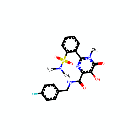 CN(C)S(=O)(=O)c1ccccc1-c1nc(C(=O)NCc2ccc(F)cc2)c(O)c(=O)n1C